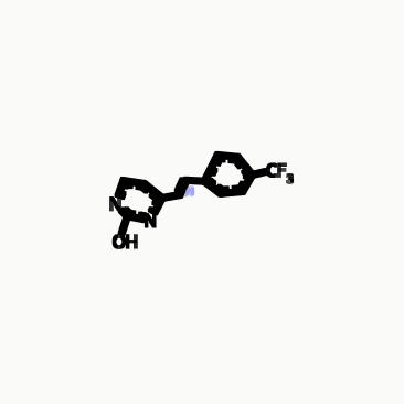 Oc1nccc(/C=C/c2ccc(C(F)(F)F)cc2)n1